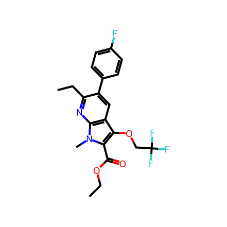 CCOC(=O)c1c(OCC(F)(F)F)c2cc(-c3ccc(F)cc3)c(CC)nc2n1C